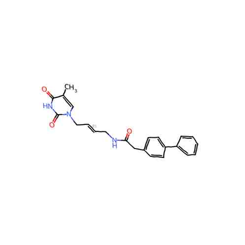 Cc1cn(C/C=C/CNC(=O)Cc2ccc(-c3ccccc3)cc2)c(=O)[nH]c1=O